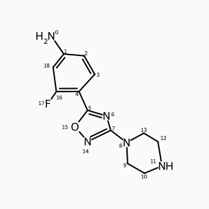 Nc1ccc(-c2nc(N3CCNCC3)no2)c(F)c1